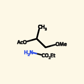 CCOC(N)=O.COCC(C)OC(C)=O